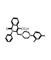 Cc1ccc(N2CCN(Cc3c(C(=O)O)c4ccccc4c(=O)n3-c3ccccc3)CC2)c(C)c1